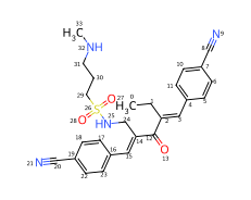 CC/C(=C\c1ccc(C#N)cc1)C(=O)/C(=C/c1ccc(C#N)cc1)CNS(=O)(=O)CCCNC